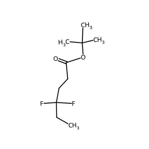 CCC(F)(F)CCC(=O)OC(C)(C)C